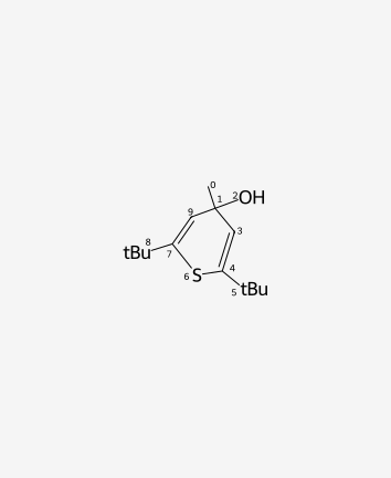 CC1(O)C=C(C(C)(C)C)SC(C(C)(C)C)=C1